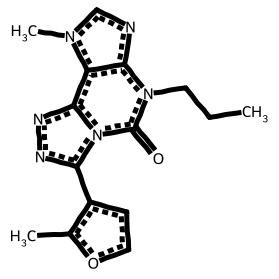 CCCn1c(=O)n2c(-c3ccoc3C)nnc2c2c1ncn2C